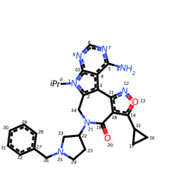 CC(C)n1c2c(c3c(N)ncnc31)-c1noc(C3CC3)c1C(=O)N(C1CCN(Cc3ccccc3)C1)C2